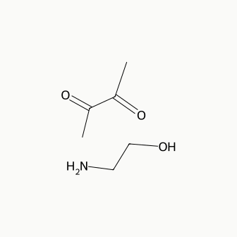 CC(=O)C(C)=O.NCCO